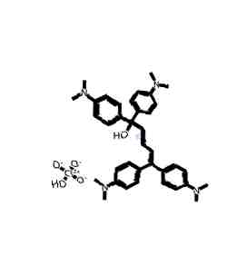 CN(C)c1ccc(C(=C/C=C/C(O)(c2ccc(N(C)C)cc2)c2ccc(N(C)C)cc2)c2ccc(N(C)C)cc2)cc1.[O-][Cl+3]([O-])([O-])O